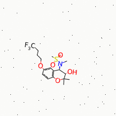 CN([C@@H]1c2cc(OCCCC(F)(F)F)ccc2OC(C)(C)[C@H]1O)S(C)(=O)=O